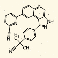 CC(C)(C#N)c1ccc(-c2n[nH]c3cnc4ccc(-c5cccc(C#N)n5)cc4c23)cc1